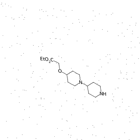 CCOC(=O)COC1CCN(C2CCNCC2)CC1